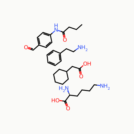 CCCC(=O)Nc1ccc(C=O)cc1.NCCCC[C@H](N)C(=O)O.NCCc1ccccc1.O=C(O)CC1CCCCC1